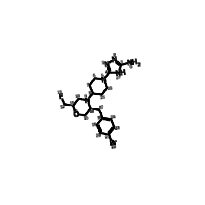 Nc1nnc(N2CCC(N3C[C@H](CF)OC[C@@H]3Cc3ccc(Br)cc3)CC2)[nH]1